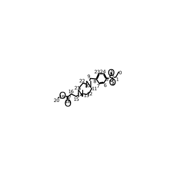 CCS(=O)(=O)c1ccc(CN2CCCN(CCC(=O)OC)CC2)cc1